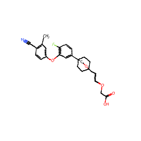 Cc1cc(Oc2cc(C34CCC(CCOCC(=O)O)(CC3)OC4)ccc2F)ccc1C#N